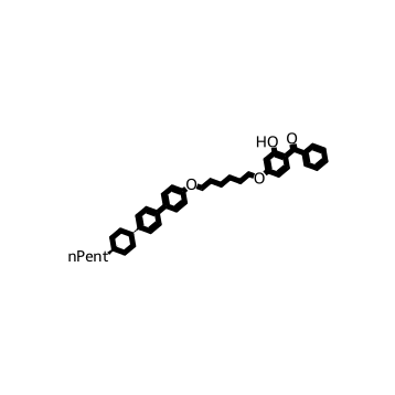 CCCCC[C@H]1CC[C@H](c2ccc(-c3ccc(OCCCCCCOc4ccc(C(=O)c5ccccc5)c(O)c4)cc3)cc2)CC1